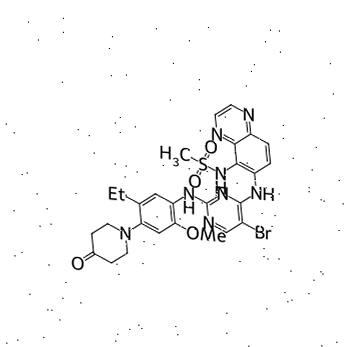 CCc1cc(Nc2ncc(Br)c(Nc3ccc4nccnc4c3NS(C)(=O)=O)n2)c(OC)cc1N1CCC(=O)CC1